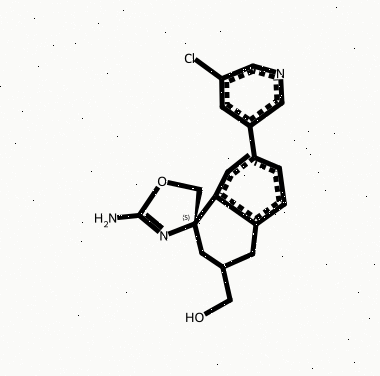 NC1=N[C@@]2(CO1)CC(CO)Cc1ccc(-c3cncc(Cl)c3)cc12